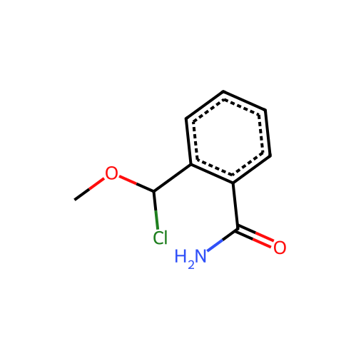 COC(Cl)c1ccccc1C(N)=O